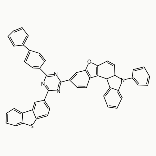 C1=CC2C(c3ccccc3N2c2ccccc2)c2c1oc1cc(-c3nc(-c4ccc(-c5ccccc5)cc4)nc(-c4ccc5sc6ccccc6c5c4)n3)ccc21